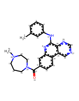 Cc1cccc(Nc2nc3cc(C(=O)N4CCCN(C)CC4)ccc3c3cncnc23)c1